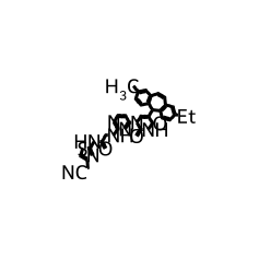 CCc1ccc2c(c1)C=Cc1cc(C)ccc1C2c1cn(-c2ccnc(NCC(=O)Nc3nc(CC#N)cs3)n2)c(=O)[nH]c1=O